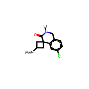 CCN1Cc2ccc(Cl)cc2C2(CC(NC)C2)C1=O